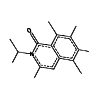 Cc1c(C)c(C)c2c(=O)n(C(C)C)c(C)cc2c1C